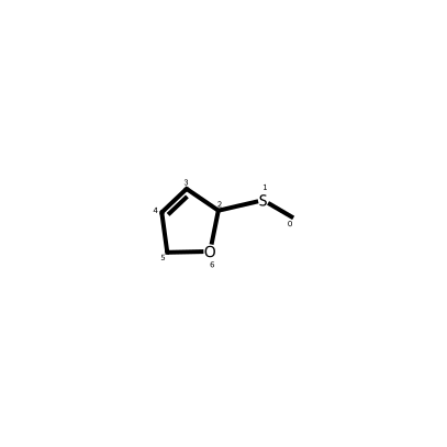 CSC1C=CCO1